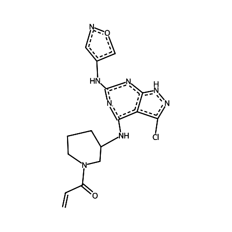 C=CC(=O)N1CCCC(Nc2nc(Nc3cnoc3)nc3[nH]nc(Cl)c23)C1